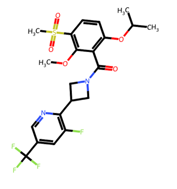 COc1c(S(C)(=O)=O)ccc(OC(C)C)c1C(=O)N1CC(c2ncc(C(F)(F)F)cc2F)C1